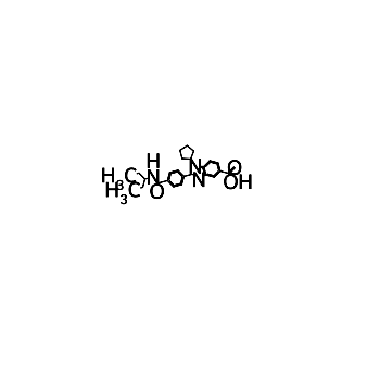 CCC(CC)NC(=O)c1ccc(-c2nc3cc(C(=O)O)ccc3n2C2CCCC2)cc1